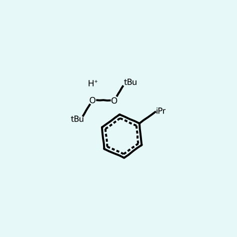 CC(C)(C)OOC(C)(C)C.CC(C)c1ccccc1.[H+]